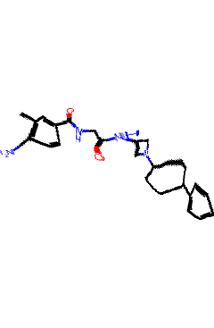 Cc1cc(C(=O)NCC(=O)NC2CN(C3CCC(c4ccccc4)CC3)C2)ccc1N